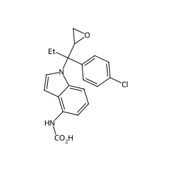 CCC(c1ccc(Cl)cc1)(C1CO1)n1ccc2c(NC(=O)O)cccc21